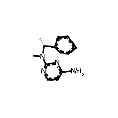 C[C@H](c1ccccc1)N(C)c1nccc(N)n1